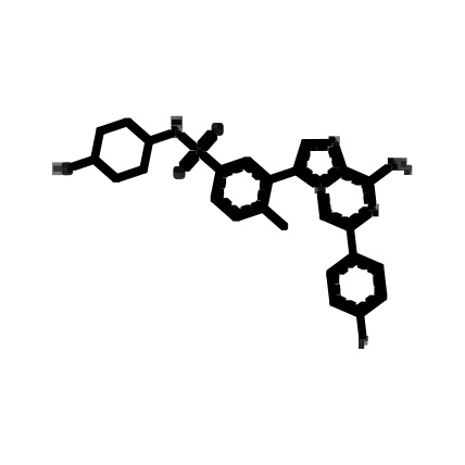 Cc1ccc(S(=O)(=O)NC2CCC(O)CC2)cc1-c1cnc2c(N)nc(-c3ccc(F)cc3)cn12